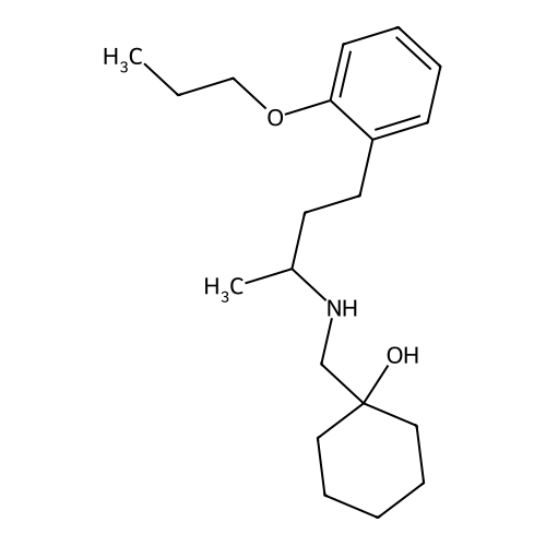 CCCOc1ccccc1CCC(C)NCC1(O)CCCCC1